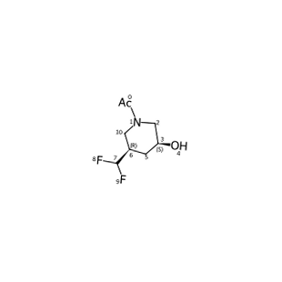 CC(=O)N1C[C@@H](O)C[C@@H](C(F)F)C1